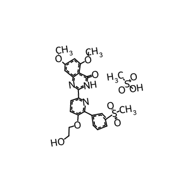 COc1cc(OC)c2c(=O)[nH]c(-c3ccc(OCCO)c(-c4cccc(S(C)(=O)=O)c4)n3)nc2c1.CS(=O)(=O)O